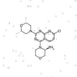 C[C@@H]1CN(c2nc(N3CCOC[C@@H]3P)c3ccc(Cl)nc3n2)C[C@H](C)O1